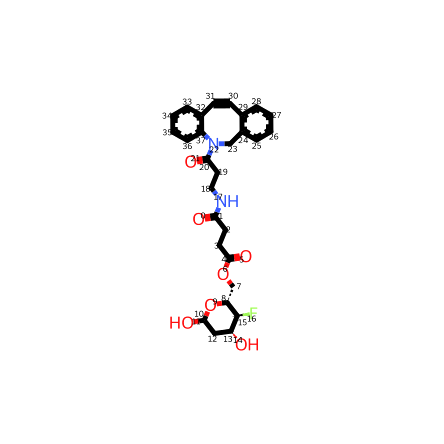 O=C(CCC(=O)OC[C@H]1OC(O)C[C@@H](O)[C@@H]1F)NCCC(=O)N1Cc2ccccc2C#Cc2ccccc21